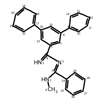 CN/C(=N\C(=N)c1cc(-c2ccccc2)cc(-c2ccccc2)c1)c1ccccc1